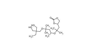 CCC(CO)(CO)COC(C)(C)CC(C)OC(C)(C)CC1COC(=O)O1